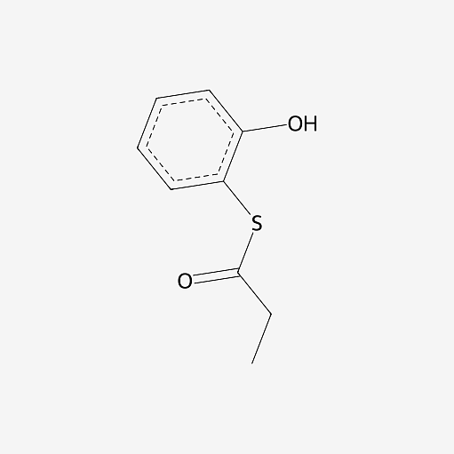 CCC(=O)Sc1ccccc1O